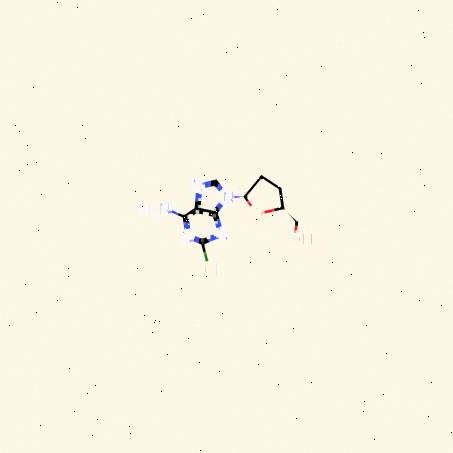 Nc1nc(Cl)nc2c1ncn2[C@H]1CC[C@@H](CO)O1